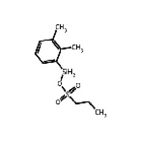 CCCS(=O)(=O)O[SiH2]c1cccc(C)c1C